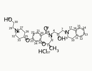 C[C@@H]1CN(CC(O)CN2CCc3ccccc3C2)C(=O)c2ccc(OC3CCN(CCO)CC3)cc2O1.Cl